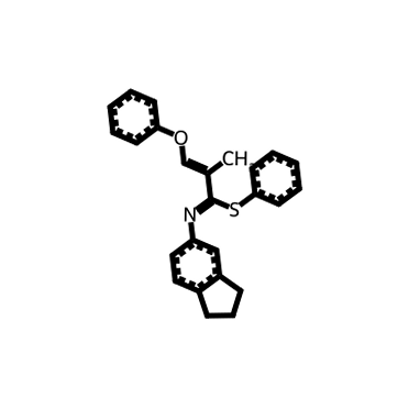 CC(=COc1ccccc1)C(=Nc1ccc2c(c1)CCC2)Sc1ccccc1